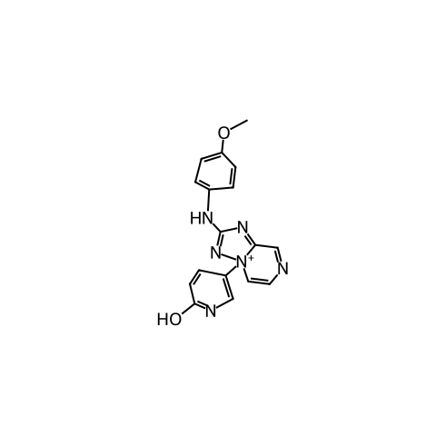 COc1ccc(NC2=N[N+]3(c4ccc(O)nc4)C=CN=CC3=N2)cc1